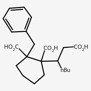 CCCCC(CC(=O)O)C1(C(=O)O)CCCCC1(Cc1ccccc1)C(=O)O